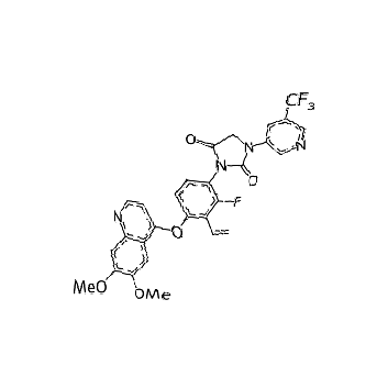 C=Cc1c(Oc2ccnc3cc(OC)c(OC)cc23)ccc(N2C(=O)CN(c3cncc(C(F)(F)F)c3)C2=O)c1F